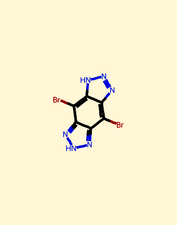 Brc1c2n[nH]nc2c(Br)c2[nH]nnc12